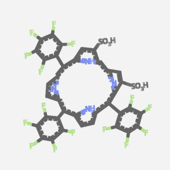 O=S(=O)(O)C1=Cc2nc1c(-c1c(F)c(F)c(F)c(F)c1F)c1ccc([nH]1)c(-c1c(F)c(F)c(F)c(F)c1F)c1ccc([nH]1)c(-c1c(F)c(F)c(F)c(F)c1F)c1cc(S(=O)(=O)O)c2[nH]1